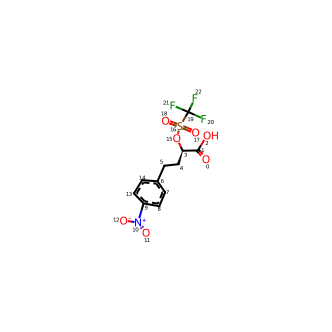 O=C(O)[C@@H](CCc1ccc([N+](=O)[O-])cc1)OS(=O)(=O)C(F)(F)F